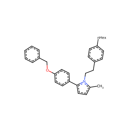 CCCCCCc1ccc(CCn2c(C)ccc2-c2ccc(OCc3ccccc3)cc2)cc1